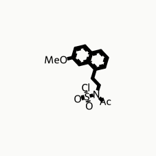 COc1ccc2cccc(CCN(C(C)=O)S(=O)(=O)Cl)c2c1